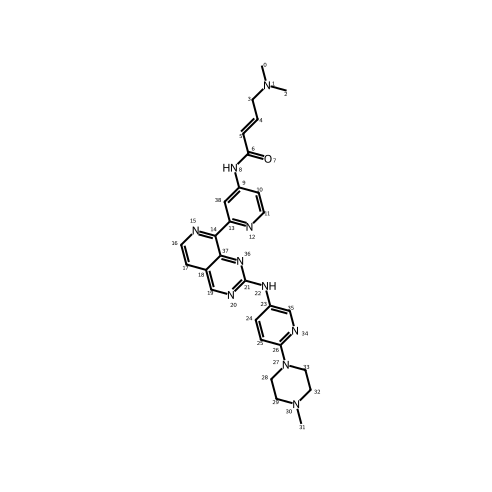 CN(C)CC=CC(=O)Nc1ccnc(-c2nccc3cnc(Nc4ccc(N5CCN(C)CC5)nc4)nc23)c1